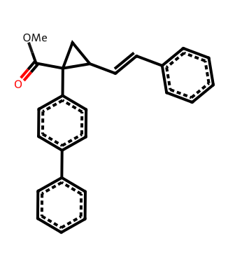 COC(=O)C1(c2ccc(-c3ccccc3)cc2)CC1C=Cc1ccccc1